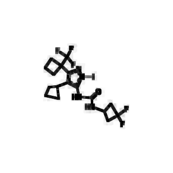 O=C(Nc1c(C2CCC2)c(C2(C(F)(F)F)CCC2)nn1I)NC1CC(F)(F)C1